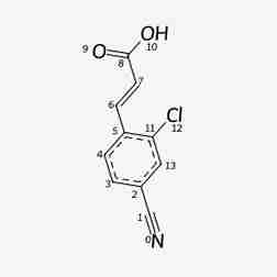 N#Cc1ccc(C=CC(=O)O)c(Cl)c1